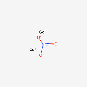 O=[N+]([O-])[O-].[Cu+].[Gd]